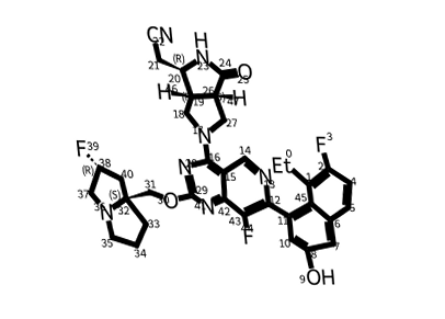 CCc1c(F)ccc2cc(O)cc(-c3ncc4c(N5C[C@@H]6[C@@H](CC#N)NC(=O)[C@@H]6C5)nc(OC[C@@]56CCCN5C[C@H](F)C6)nc4c3F)c12